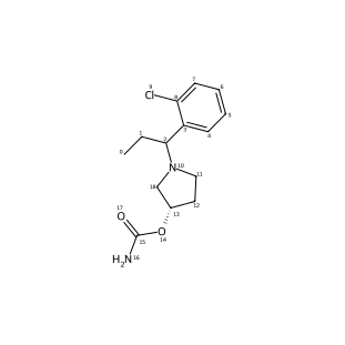 CCC(c1ccccc1Cl)N1CC[C@H](OC(N)=O)C1